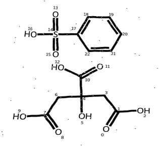 O=C(O)CC(O)(CC(=O)O)C(=O)O.O=S(=O)(O)c1ccccc1